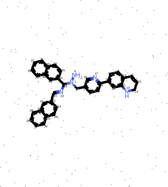 NN(Cc1ccc(-c2ccc3c(c2)NCC=C3)nc1)C(/N=C/c1ccc2ccccc2c1)c1ccc2ccccc2c1